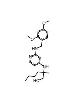 CCCCC(C)(CO)Nc1ccnc(NCc2ccc(OC)cc2OC)c1